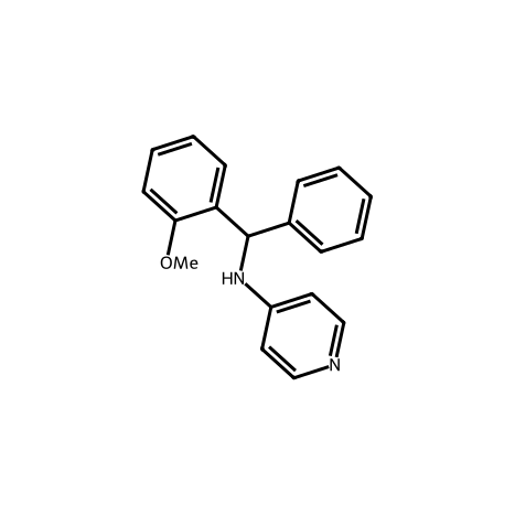 COc1ccccc1C(Nc1ccncc1)c1ccccc1